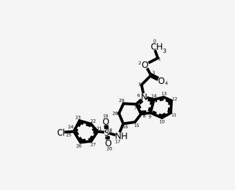 CCOC(=O)Cn1c2c(c3ccccc31)CC(NS(=O)(=O)c1ccc(Cl)cc1)CC2